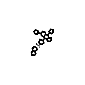 C[Si](C)(c1ccc(-c2c3ccccc3c(-c3ccccc3)c3ccc(-c4ccccc4)cc23)cc1)c1ccc2ccccc2c1